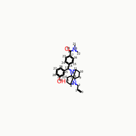 C=CCN1C2CCC3C1CCC2N3C(c1ccc(C(=O)N(C)C)cc1)c1cccc(O)c1